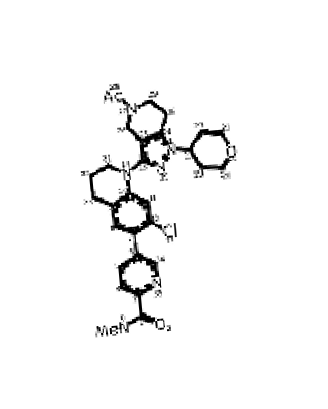 CNC(=O)c1ccc(-c2cc3c(cc2Cl)N(c2nn(C4CCOCC4)c4c2CN(C(C)=O)CC4)CCC3)cn1